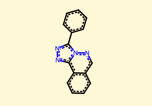 c1ccc(-c2nnc3c4ccccc4cnn23)cc1